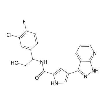 O=C(NC(CO)c1ccc(F)c(Cl)c1)c1cc(-c2n[nH]c3ncccc23)c[nH]1